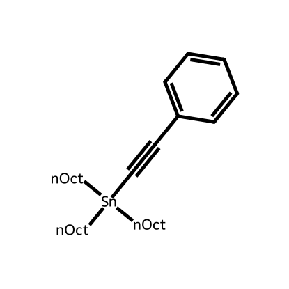 CCCCCCC[CH2][Sn]([C]#Cc1ccccc1)([CH2]CCCCCCC)[CH2]CCCCCCC